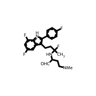 CNCCC(C=O)NC(C)(F)CCc1c(-c2ccc(F)cc2)[nH]c2c(F)cc(F)cc12